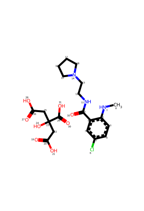 CNc1ccc(Cl)cc1C(=O)NCCN1CCCC1.O=C(O)CC(O)(CC(=O)O)C(=O)O